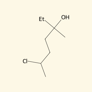 CCC(C)(O)CCC(C)Cl